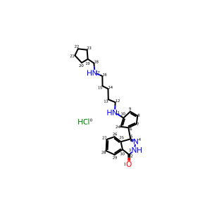 Cl.O=c1[nH]nc(-c2cccc(NCCCCCNCC3CCCC3)c2)c2ccccc12